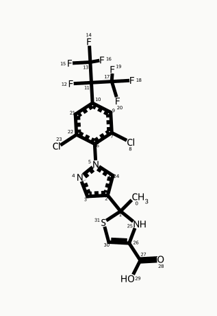 CC1(c2cnn(-c3c(Cl)cc(C(F)(C(F)(F)F)C(F)(F)F)cc3Cl)c2)NC(C(=O)O)=CS1